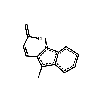 C=C(Cl)/C=C\c1c(C)c2ccccc2n1C